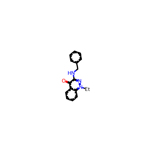 CCn1nc(NCc2ccccc2)c(=O)c2ccccc21